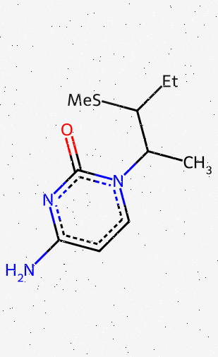 CCC(SC)C(C)n1ccc(N)nc1=O